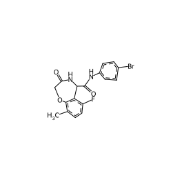 Cc1ccc(F)c2c1OCC(=O)NC2C(=O)Nc1ccc(Br)cc1